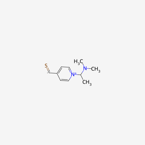 CC(N(C)C)[n+]1ccc([C]=S)cc1